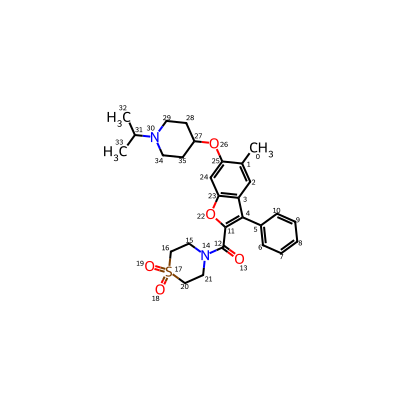 Cc1cc2c(-c3ccccc3)c(C(=O)N3CCS(=O)(=O)CC3)oc2cc1OC1CCN(C(C)C)CC1